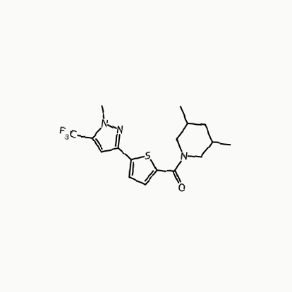 CC1CC(C)CN(C(=O)c2ccc(-c3cc(C(F)(F)F)n(C)n3)s2)C1